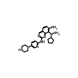 Nc1ccc2cnc(Nc3ccc(N4CCNCC4)cn3)nc2c1N(N)C1CCCC1